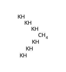 C.[KH].[KH].[KH].[KH].[KH].[KH]